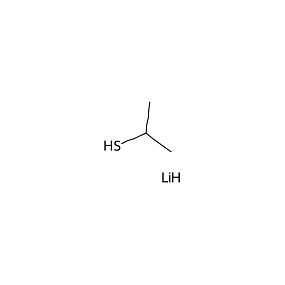 CC(C)S.[LiH]